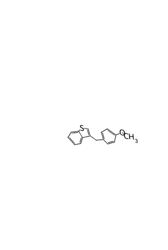 COc1ccc(Cc2csc3ccccc23)cc1